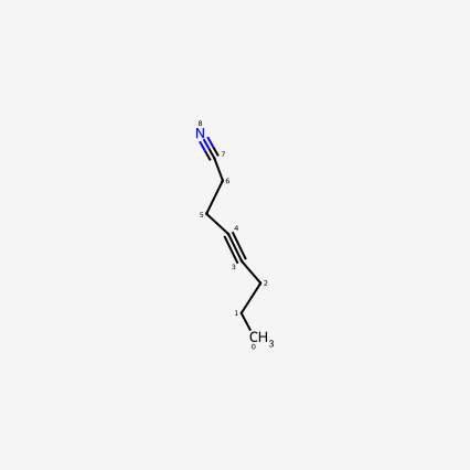 CCCC#CCCC#N